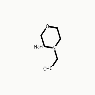 O=CCN1CCOCC1.[NaH]